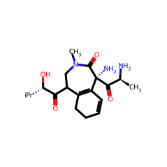 CC(C)[C@H](O)C(=O)C1CN(C)C(=O)[C@@](N)(C(=O)[C@H](C)N)C2=C1CCC=C2